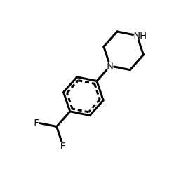 F[C](F)c1ccc(N2CCNCC2)cc1